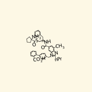 CCCc1nc2c(C)cc(C(=O)N[C@@H](CSC(=O)C3(N)CCCC3)Cc3ccccc3)cc2n1Cc1ccc(-c2ccccc2C(=O)O)cc1